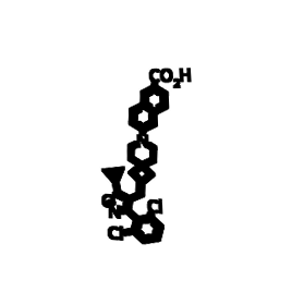 O=C(O)c1ccc2cc(N3CCC4(CC3)CC(=Cc3c(-c5c(Cl)cccc5Cl)noc3C3CC3)C4)ccc2c1